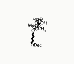 CCCCCCCCCCCCCCCCOC(CC)OC(C)(OC)OC(=O)P(=O)(O)O